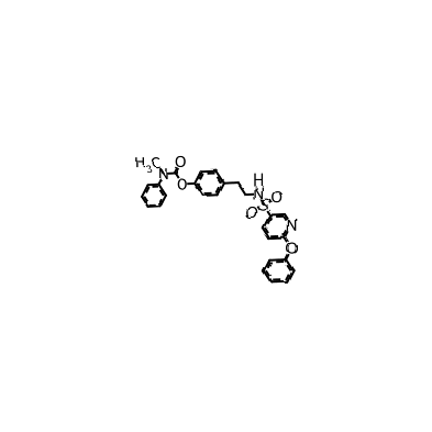 CN(C(=O)Oc1ccc(CCNS(=O)(=O)c2ccc(Oc3ccccc3)nc2)cc1)c1ccccc1